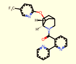 O=C(c1cccnc1-c1ccccn1)N1CC2CC[C@H]1[C@H](Oc1ccc(C(F)(F)F)cn1)C2